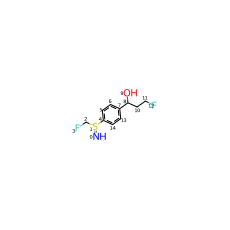 N=S(CF)c1ccc(C(O)CCF)cc1